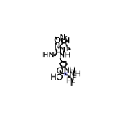 COc1ncnc(C2CC2)c1-c1ncc(C=N)c(NCc2ccc(N/C(=C\C(=N)C(F)(F)F)C(=O)O)cc2)n1